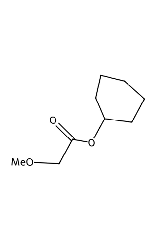 [C]OCC(=O)OC1CCCCC1